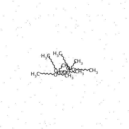 CCCCCCCCCCOC(CCCCC)=C(OCCCCCCCCCC)C(CCCC)OCOCOC(CCCC)C(OCCCCCCCCCC)=C(CCCCC)OCCCCCCCCCC